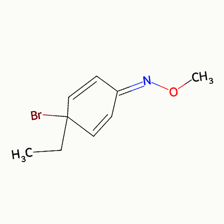 CCC1(Br)C=CC(=NOC)C=C1